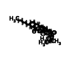 CCCCCCC1C=CC(CCCCCCCC(=O)OOC(C)(C)CC)C(C(=O)OOC(C)(C)CC)C1